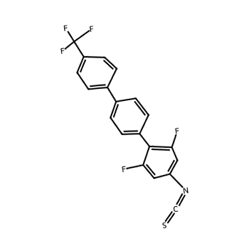 Fc1cc(N=C=S)cc(F)c1-c1ccc(-c2ccc(C(F)(F)F)cc2)cc1